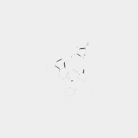 CC(C)c1nc(COc2ccc(Br)c3c2[C@@H](CN2CCCC2=O)N(C(=O)[C@@H]2CCCC[C@@H]2C(=O)O)CC3)no1